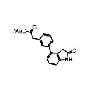 COC(=O)Cc1cccc(-c2cccc3c2CC(=O)N3)c1